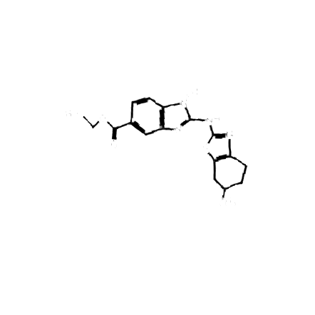 CCOC(=O)c1ccc2c(c1)nc(Nc1nc3c(s1)CC(C)CC3)n2C